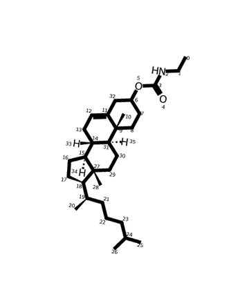 CCNC(=O)OC1CC[C@@]2(C)C(=CC[C@H]3[C@@H]4CC[C@H]([C@H](C)CCCC(C)C)[C@@]4(C)CC[C@@H]32)C1